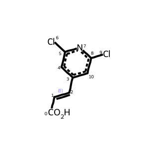 O=C(O)/C=C/c1cc(Cl)nc(Cl)c1